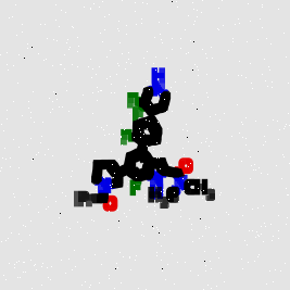 CC(C)C(=O)N1CCC=C(c2cc(-c3ccc([C@H]4CCNCC4(F)F)cc3F)c3cc(C(=O)N(C)C)[nH]c3c2F)C1